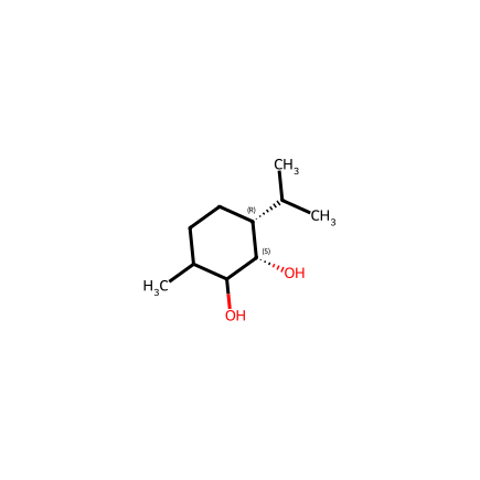 CC1CC[C@H](C(C)C)[C@H](O)C1O